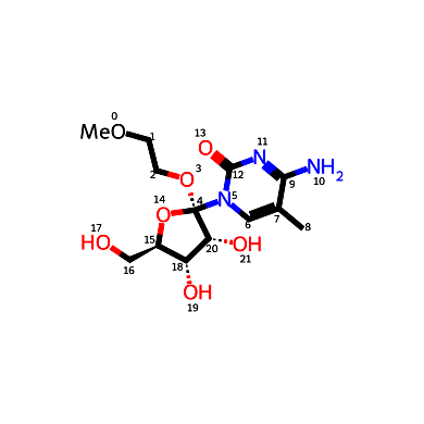 COCCO[C@@]1(n2cc(C)c(N)nc2=O)O[C@H](CO)[C@@H](O)[C@H]1O